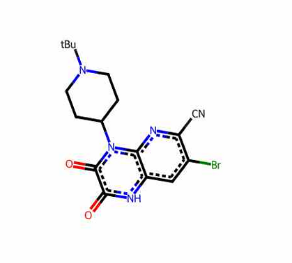 CC(C)(C)N1CCC(n2c(=O)c(=O)[nH]c3cc(Br)c(C#N)nc32)CC1